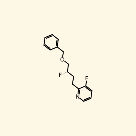 Fc1cccnc1CC[C@H](F)COCc1ccccc1